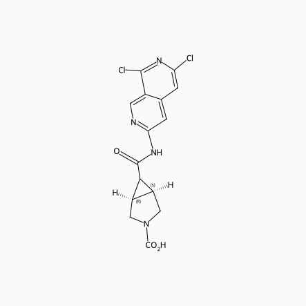 O=C(Nc1cc2cc(Cl)nc(Cl)c2cn1)C1[C@H]2CN(C(=O)O)C[C@@H]12